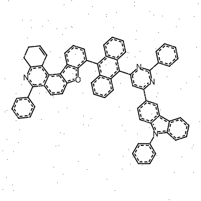 C1=Cc2c(nc(-c3ccccc3)c3ccc4oc5c(-c6c7ccccc7c(-c7cc(-c8ccc9c(c8)c8ccccc8n9-c8ccccc8)nc(-c8ccccc8)n7)c7ccccc67)cccc5c4c23)CC1